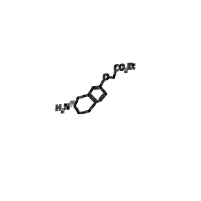 CCOC(=O)COc1ccc2c(c1)C[C@@H](N)CC2